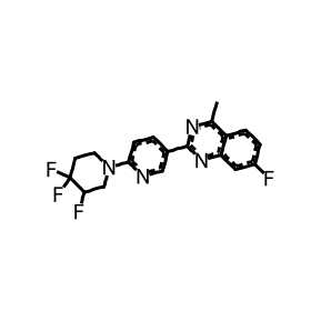 Cc1nc(-c2ccc(N3CCC(F)(F)C(F)C3)nc2)nc2cc(F)ccc12